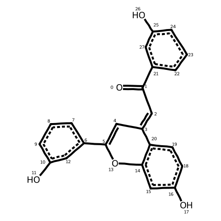 O=C(C=C1C=C(c2cccc(O)c2)Oc2cc(O)ccc21)c1cccc(O)c1